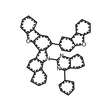 c1ccc(-c2nc(-n3c4c(-c5ccc6oc7ccccc7c6c5)cc5c6ccccc6oc5c4c4ccc5ccccc5c43)nc3ccccc23)cc1